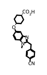 Cn1c(Cc2ccc(C#N)cc2)nc2cc(O[C@H]3CC[C@@H](C(=O)O)CC3)ccc21